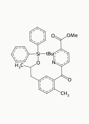 COC(=O)c1ccc(C(=O)c2cc(CC(C)O[Si](c3ccccc3)(c3ccccc3)C(C)(C)C)ccc2C)nc1